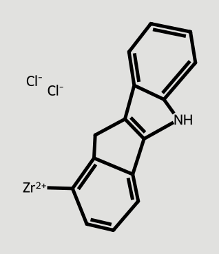 [Cl-].[Cl-].[Zr+2][c]1cccc2c1Cc1c-2[nH]c2ccccc12